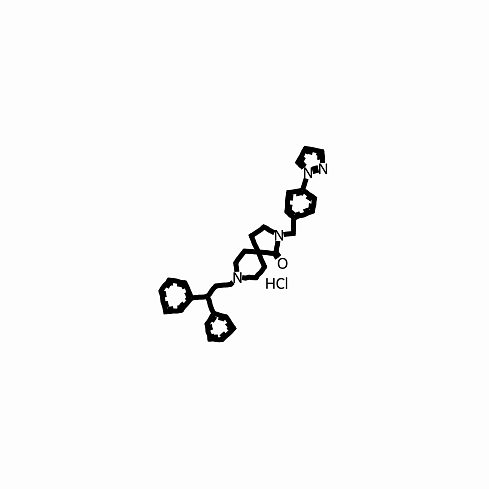 Cl.O=C1N(Cc2ccc(-n3cccn3)cc2)CCC12CCN(CCC(c1ccccc1)c1ccccc1)CC2